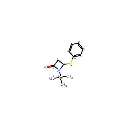 CC(C)(C)[Si](C)(C)N1C(=O)CC1Sc1ccccc1